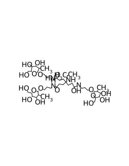 CC(C)NC(CCC(=O)NCCCOC1OC(CO)C(O)C(O)C1C)(CCC(=O)NCCCOC1OC(CO)C(O)C(O)C1C)CCC(=O)NCCCOC1OC(CO)C(O)C(O)C1C